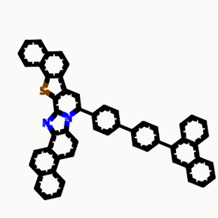 c1ccc2c(c1)cc(-c1ccc(-c3ccc(-c4cc5c6ccc7ccccc7c6sc5c5nc6c7ccc8ccccc8c7ccc6n45)cc3)cc1)c1ccccc12